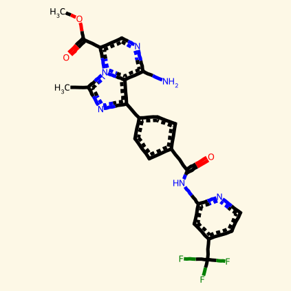 COC(=O)c1cnc(N)c2c(-c3ccc(C(=O)Nc4cc(C(F)(F)F)ccn4)cc3)nc(C)n12